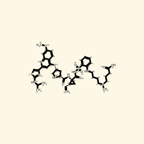 C=C[C@@H]1C[C@@]1(NC(=O)[C@@H]1C[C@@H](Oc2cc(-c3csc(NC(C)C)n3)nc3cc(OC)ccc23)CN1)C(=O)NS(=O)(=O)c1ccccc1NCCCCN(C)CCCC(=O)O